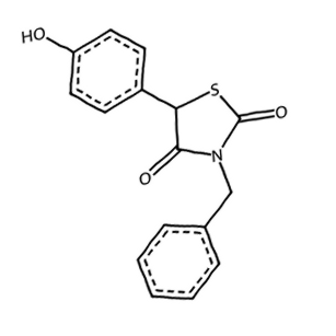 O=C1SC(c2ccc(O)cc2)C(=O)N1Cc1ccccc1